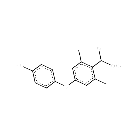 Cc1cc(Oc2ccc(C(F)(F)F)cc2)cc(C)c1C(Br)C=O